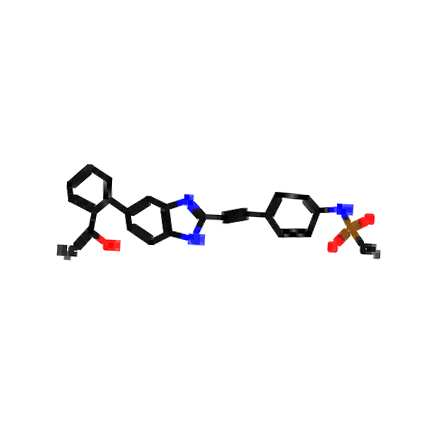 C=C(O)c1ccccc1-c1ccc2[nH]c(C#Cc3ccc(NS(C)(=O)=O)cc3)nc2c1